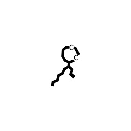 C=CCC(CCCCCC)C1CCCCCCCCC1